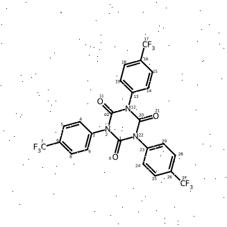 O=c1n(-c2ccc(C(F)(F)F)cc2)c(=O)n(-c2ccc(C(F)(F)F)cc2)c(=O)n1-c1ccc(C(F)(F)F)cc1